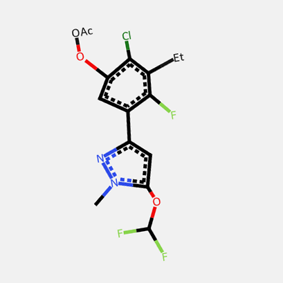 CCc1c(F)c(-c2cc(OC(F)F)n(C)n2)cc(OOC(C)=O)c1Cl